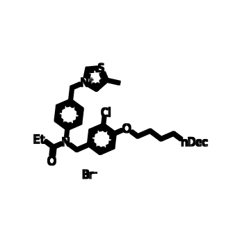 CCCCCCCCCCCCCCOc1ccc(CN(C(=O)CC)c2ccc(C[n+]3csc(C)c3)cc2)cc1Cl.[Br-]